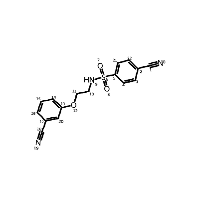 N#Cc1ccc(S(=O)(=O)NCCOc2cccc(C#N)c2)cc1